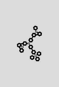 c1ccc(-n2c3ccccc3c3cc(-c4ccc(N(c5ccc(-c6ccc([Si](c7ccccc7)(c7ccccc7)c7ccccc7)cc6)cc5)c5ccc6c7cccc8c9ccccc9n(c6c5)c87)cc4)ccc32)cc1